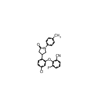 Cc1ccc(N2CC(c3ccc(Cl)cc3Oc3c(F)cccc3C#N)CC2=O)cc1